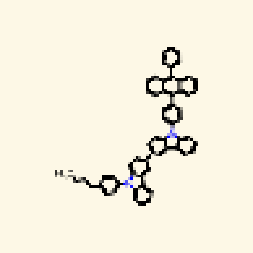 CCCCc1ccc(-n2c3ccccc3c3cc(-c4ccc5c(c4)c4ccccc4n5-c4ccc(-c5c6ccccc6c(-c6ccccc6)c6ccccc56)cc4)ccc32)cc1